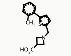 Cc1ccccc1-c1ccc(CN2CC(C(=O)O)C2)s1